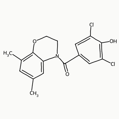 Cc1cc(C)c2c(c1)N(C(=O)c1cc(Cl)c(O)c(Cl)c1)CCO2